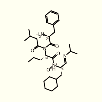 CCC[C@@H](C(=O)[NH+]([O-])[C@H](C=NC(C)C)CC1CCCCC1)N(C(=O)CC(C)C)C(=O)[C@@H](N)Cc1ccccc1